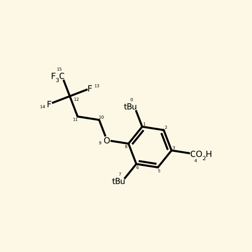 CC(C)(C)c1cc(C(=O)O)cc(C(C)(C)C)c1OCCC(F)(F)C(F)(F)F